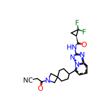 N#CCC(=O)N1CC2(CCC(c3cccc4nc(NC(=O)[C@H]5CC5(F)F)nn34)CC2)C1